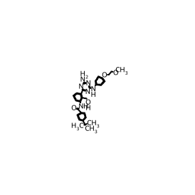 COCCOc1ccc(Nc2nc(N)nc(-c3cccc(NC(=O)c4ccc(C(C)(C)C)cc4)c3CO)n2)cc1